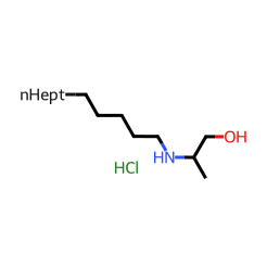 CCCCCCCCCCCCNC(C)CO.Cl